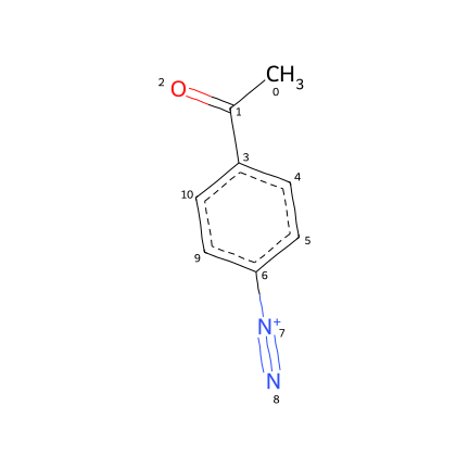 CC(=O)c1ccc([N+]#N)cc1